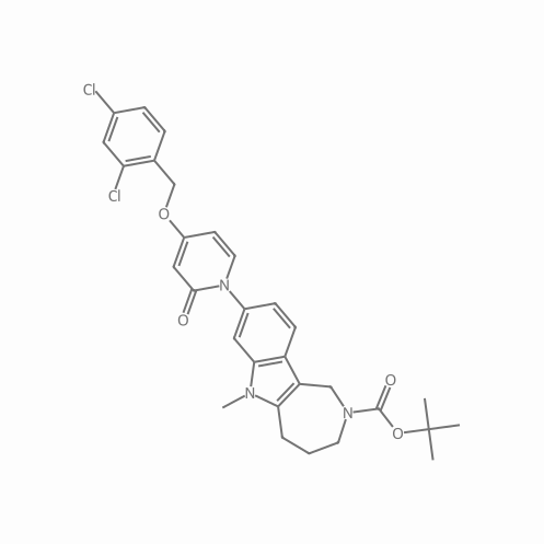 Cn1c2c(c3ccc(-n4ccc(OCc5ccc(Cl)cc5Cl)cc4=O)cc31)CN(C(=O)OC(C)(C)C)CCC2